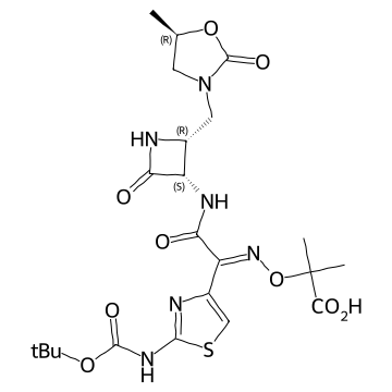 C[C@@H]1CN(C[C@H]2NC(=O)[C@H]2NC(=O)C(=NOC(C)(C)C(=O)O)c2csc(NC(=O)OC(C)(C)C)n2)C(=O)O1